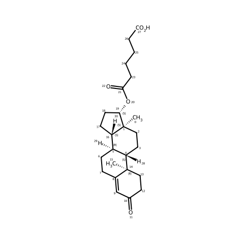 C[C@]12CC[C@H]3[C@@H](CCC4=CC(=O)CC[C@@]43C)[C@@H]1CC[C@@H]2OC(=O)CCCCC(=O)O